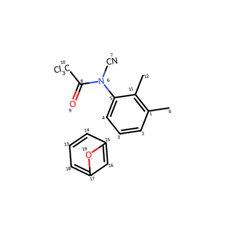 Cc1cccc(N(C#N)C(=O)C(Cl)(Cl)Cl)c1C.c1cc2cc(c1)O2